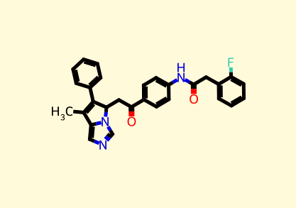 CC1=C(c2ccccc2)C(CC(=O)c2ccc(NC(=O)Cc3ccccc3F)cc2)n2cncc21